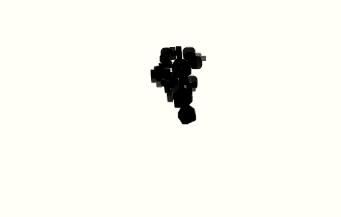 O=C(Nc1c(F)cc(C2CCCC2)cc1F)c1cc([N+](=O)[O-])ccc1Sc1nncn1CCO